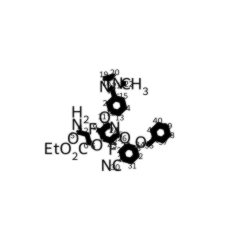 CCOC(=O)C(CC(N)=O)Oc1c(F)c(Oc2cccc(-c3nccn3C)c2)nc(Oc2cc(C#N)ccc2OCc2ccccc2)c1F